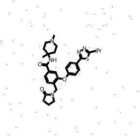 CC(C)c1nnc(-c2ccc(Oc3cc(C(=O)NC4(C)CCN(C)CC4)ccc3CN3CCCC3=O)cc2)s1